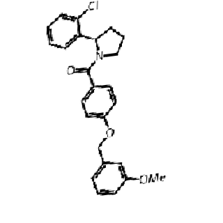 COc1cccc(COc2ccc(C(=O)N3CCC[C@@H]3c3ccccc3Cl)cc2)c1